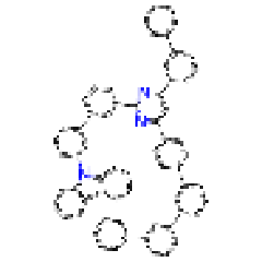 c1ccc(-c2cccc(-c3cccc(-c4ccc(-c5cc(-c6cccc(-c7ccccc7)c6)nc(-c6cccc(-c7cccc(-n8c9ccccc9c9ccccc98)c7)c6)n5)cc4)c3)c2)cc1